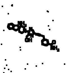 NC(=O)c1cccc(CC#Cc2cnc(N3CCC4(CC3)Cc3ccccc3C4N)c(CO)n2)c1